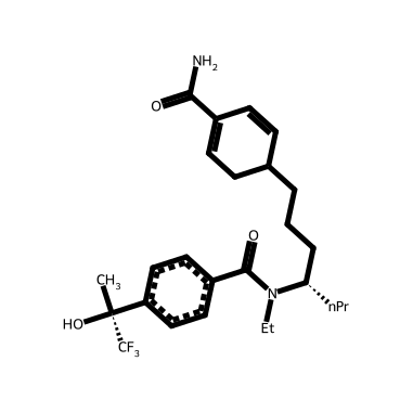 CCC[C@@H](CCCC1C=CC(C(N)=O)=CC1)N(CC)C(=O)c1ccc([C@](C)(O)C(F)(F)F)cc1